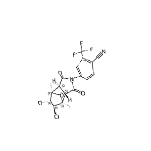 C[C@]12O[C@](C)([C@@H](Cl)[C@@H]1Cl)[C@H]1C(=O)N(c3ccc(C#N)c(C(F)(F)F)c3)C(=O)[C@@H]12